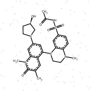 CC(=O)NS(=O)(=O)c1ccc2c(c1)N(c1cc(N3CC[C@@H](O)C3)cc3c1cc(C)c(=O)n3C)CCN2C